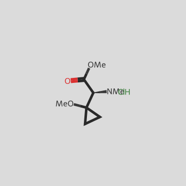 CN[C@H](C(=O)OC)C1(OC)CC1.Cl